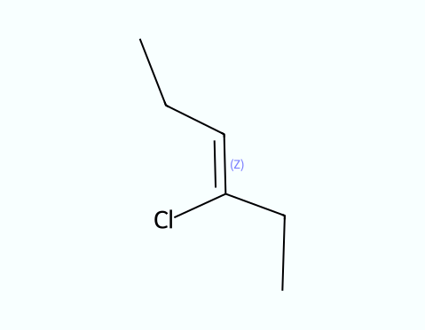 CC/C=C(\Cl)CC